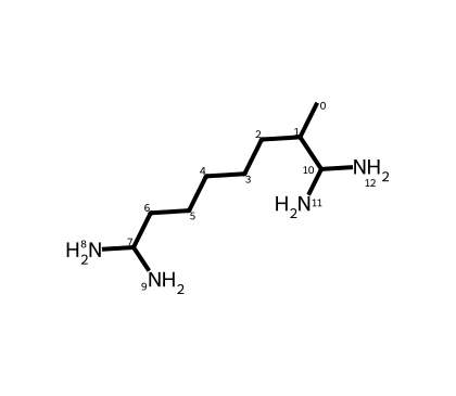 CC(CCCCCC(N)N)C(N)N